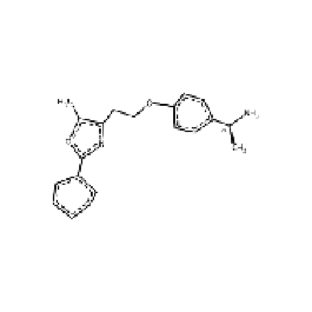 Cc1oc(-c2ccccc2)nc1CCOc1ccc([C@H](C)N)cc1